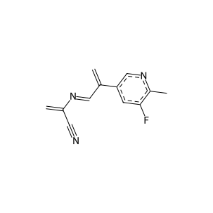 C=C(C#N)/N=C/C(=C)c1cnc(C)c(F)c1